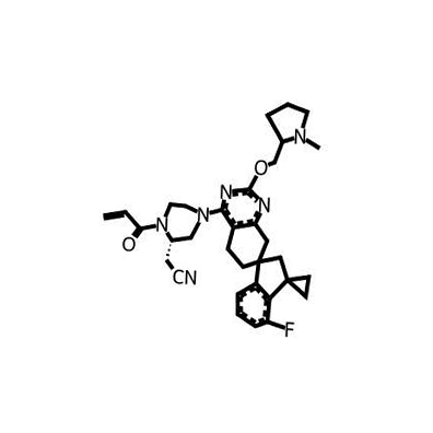 C=CC(=O)N1CCN(c2nc(OCC3CCCN3C)nc3c2CCC2(C3)CC3(CC3)c3c(F)cccc32)C[C@@H]1CC#N